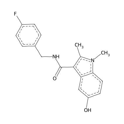 Cc1c(C(=O)NCc2ccc(F)cc2)c2cc(O)ccc2n1C